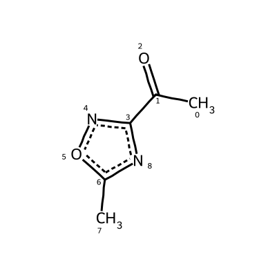 CC(=O)c1noc(C)n1